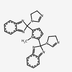 Cn1c(C2(N3C=NCC3)N=c3ccccc3=N2)ccc1C1(N2C=NCC2)N=c2ccccc2=N1